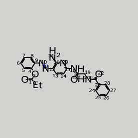 CCC(=O)Oc1ccccc1/N=N/c1ccc(NC(=O)CNC(=O)c2ccccc2)nc1N